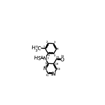 Cc1ccccc1N(S)c1ncncc1C=O